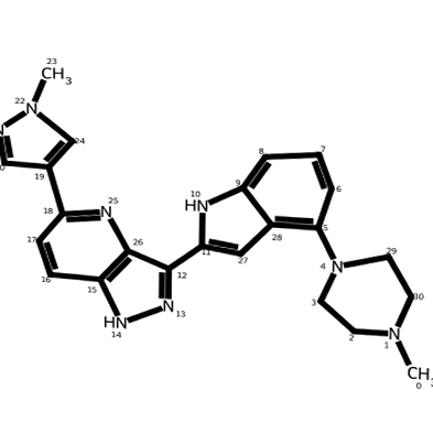 CN1CCN(c2cccc3[nH]c(-c4n[nH]c5ccc(-c6cnn(C)c6)nc45)cc23)CC1